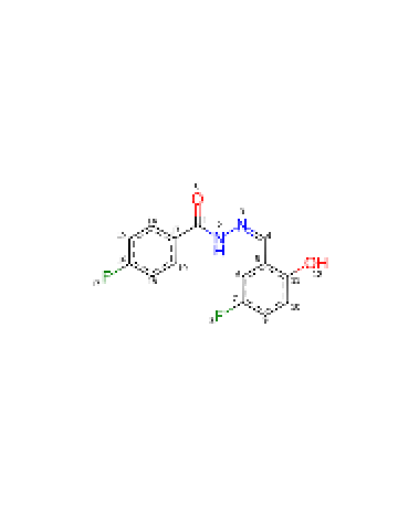 O=C(N/N=C\c1cc(F)ccc1O)c1ccc(F)cc1